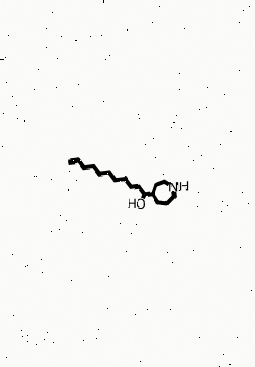 C=CCCCCCCCCC(O)C1CCCNCC1